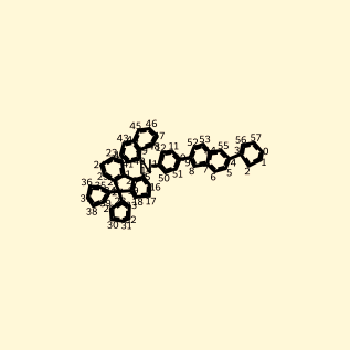 c1ccc(-c2ccc3cc(-c4ccc(N(c5cccc6c5-c5ccccc5C6(c5ccccc5)c5ccccc5)c5cccc6ccccc56)cc4)ccc3c2)cc1